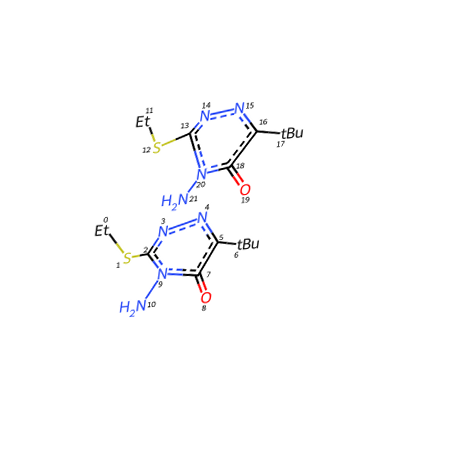 CCSc1nnc(C(C)(C)C)c(=O)n1N.CCSc1nnc(C(C)(C)C)c(=O)n1N